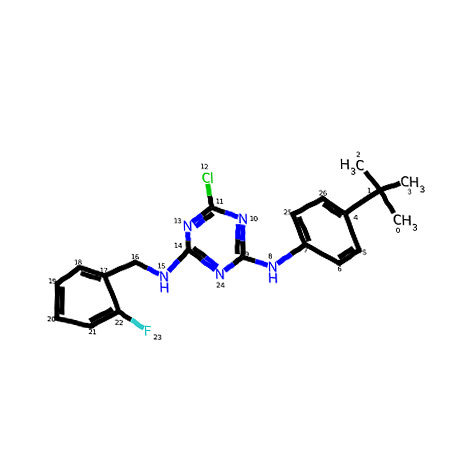 CC(C)(C)c1ccc(Nc2nc(Cl)nc(NCc3ccccc3F)n2)cc1